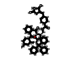 O=C1NC(=O)/C(=C/C2=CCC(C(=O)NC[C@@H]3C[C@@H](SC(c4ccccc4)(c4ccccc4)c4ccccc4)CN3C(=O)c3ccccc3C(=O)C3C=CC(F)=CC3F)C=C2)S1